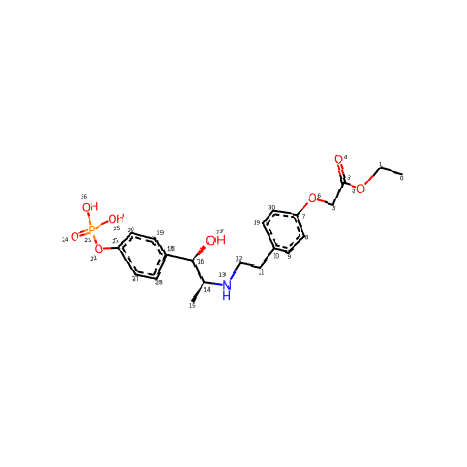 CCOC(=O)COc1ccc(CCN[C@@H](C)[C@H](O)c2ccc(OP(=O)(O)O)cc2)cc1